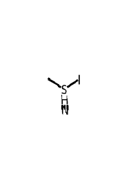 C[SH](#N)I